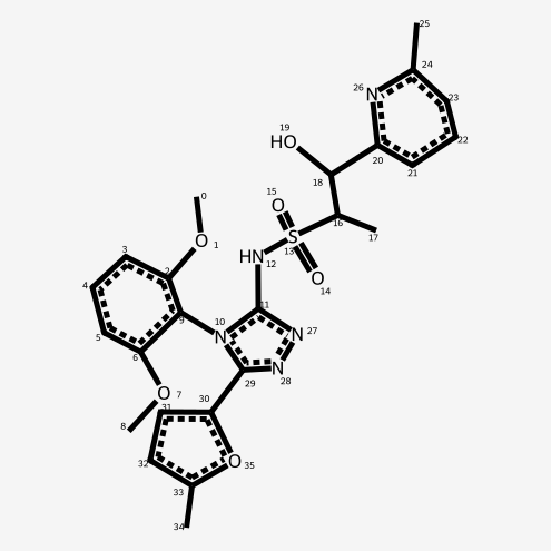 COc1cccc(OC)c1-n1c(NS(=O)(=O)C(C)C(O)c2cccc(C)n2)nnc1-c1ccc(C)o1